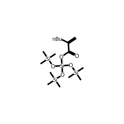 C=C(CCCC)C(=O)O[Si](O[Si](C)(C)C)(O[Si](C)(C)C)O[Si](C)(C)C